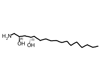 CCCCCCCCCCCCC[C@H](O)C[C@@H](O)CN